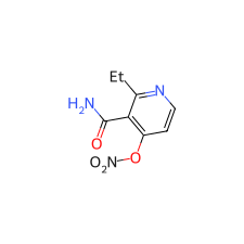 CCc1nccc(O[N+](=O)[O-])c1C(N)=O